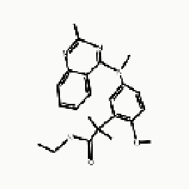 CCOC(=O)C(C)(C)c1cc(N(C)c2nc(C)nc3ccccc23)ccc1OC